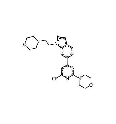 Clc1cc(-c2ccc3cnn(CCN4CCOCC4)c3c2)nc(N2CCOCC2)n1